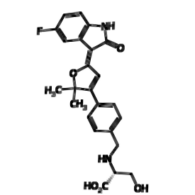 CC1(C)O/C(=C2/C(=O)Nc3ccc(F)cc32)C=C1c1ccc(CN[C@H](CO)C(=O)O)cc1